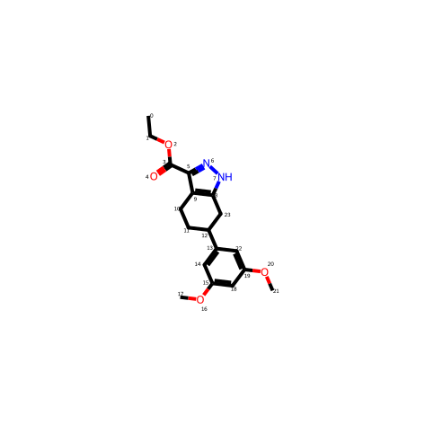 CCOC(=O)c1n[nH]c2c1CCC(c1cc(OC)cc(OC)c1)C2